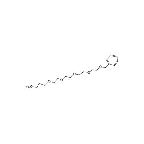 CCCCOCCOCCOCCOCCOCc1ccccc1